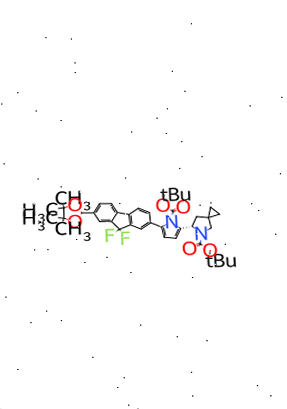 CC(C)(C)OC(=O)N1CC2(CC2)C[C@H]1c1ccc(-c2ccc3c(c2)C(F)(F)c2cc(C4OC(C)(C)C(C)(C)O4)ccc2-3)n1C(=O)OC(C)(C)C